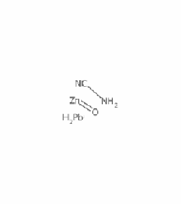 N#CN.[O]=[Zn].[PbH2]